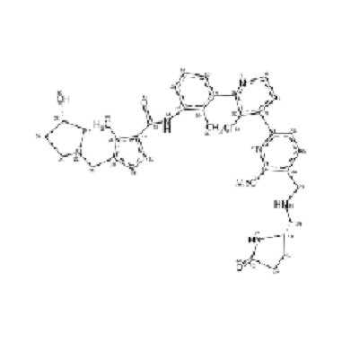 COc1nc(-c2ccnc(-c3cccc(NC(=O)c4ncc(CN5CC[C@H](O)C5)n4C)c3C)c2Cl)ccc1CNC[C@@H]1CCC(=O)N1